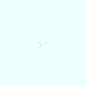 O1B2ON1O2